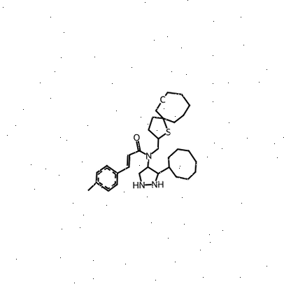 Cc1ccc(/C=C/C(=O)N(CC2CCC3(CCCCCCC3)S2)C2CNNC2C2CCCCCCC2)cc1